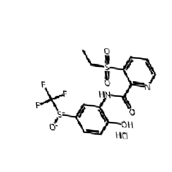 CCS(=O)(=O)c1cccnc1C(=O)Nc1cc([S+]([O-])C(F)(F)F)ccc1O.Cl